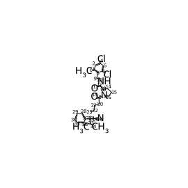 Cc1cc(Cl)cc(Cl)c1CNC(=O)[C@H]1CCCN1C(=O)CCCC[C@@](C#N)(c1ccccc1)C(C)C